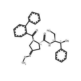 CON=C1C[C@@H](C(=O)N[C@@H](CO)[C@@H](O)c2ccccc2)N(C(=O)c2ccccc2-c2ccccc2)C1